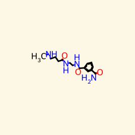 CNCCCC(=O)NCCNC(=O)c1cccc(C(N)=O)c1